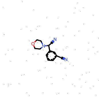 N#Cc1cccc(C(C#N)N2CCOCC2)c1